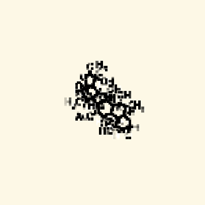 CC(=O)O[C@H]1C2C([C@@H](O)[C@@H](C)[C@H]3C[C@@H]4O[C@@H]4[C@H](O)[C@]23C)[C@@H]2[C@@H](O)[C@@H]3[C@H]([C@](C)(O)[C@H]4O[C@]45OC(=O)[C@@](C)(O)[C@]35C)[C@@]2(C)[C@H]1OC(C)=O